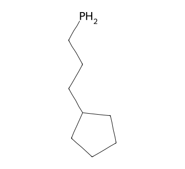 PCCCC1CCCC1